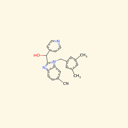 Cc1cc(C)cc(Cn2c(C(O)c3ccncc3)nc3ccc(C#N)cc32)c1